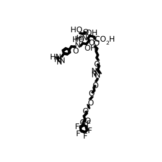 O=C(Cc1ccc(-c2nnn[nH]2)cc1)NC[C@@H](O)[C@@H](O)[C@@H]1O[C@@](OCCCCCCOCc2cn(CCOCCOCCOCCOCCC(=O)Oc3c(F)c(F)c(F)c(F)c3F)nn2)(C(=O)O)C[C@H](O)[C@H]1NC(=O)CO